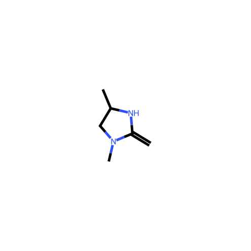 C=C1NC(C)CN1C